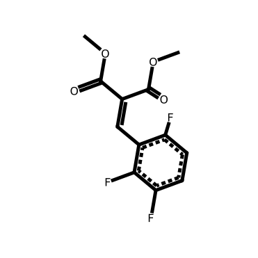 COC(=O)C(=Cc1c(F)ccc(F)c1F)C(=O)OC